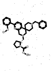 CCOc1ccccc1-c1ccc2c(n1)CN(C[C@H]1CCCN1C(=O)OC(C)(C)C)CC21CCN(Cc2ccccc2)CC1